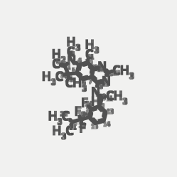 C=C1N(C)c2c(cc3c(N[C@H](C)c4cccc(C(F)(F)C(C)C)c4F)nc(C)nc3c2C)C1(C)C